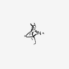 CC12C[PH]1=N2